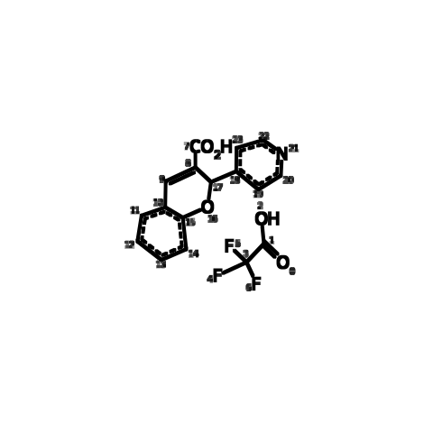 O=C(O)C(F)(F)F.O=C(O)C1=Cc2ccccc2OC1c1ccncc1